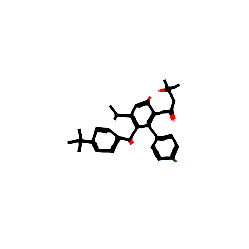 CC(C)c1cc2c(c(-c3ccc(F)cc3)c1C(=O)c1ccc(C(C)(C)C)cc1)C(=O)CC(C)(C)O2